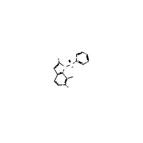 O=Cc1cc2ccc(Br)c(F)c2n1S(=O)(=O)c1ccccc1